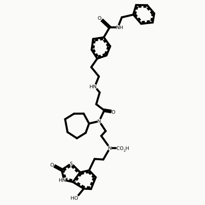 O=C(NCc1ccccc1)c1ccc(CCNCCC(=O)N(CCN(CCc2ccc(O)c3[nH]c(=O)sc23)C(=O)O)C2CCCCCC2)cc1